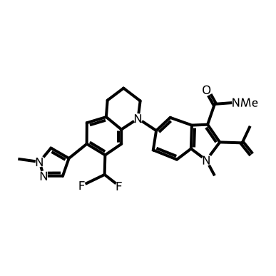 C=C(C)c1c(C(=O)NC)c2cc(N3CCCc4cc(-c5cnn(C)c5)c(C(F)F)cc43)ccc2n1C